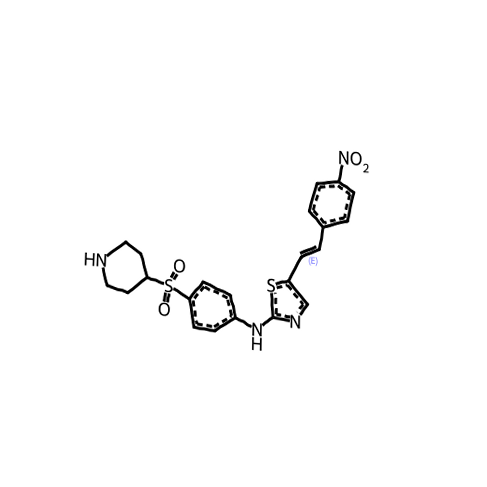 O=[N+]([O-])c1ccc(/C=C/c2cnc(Nc3ccc(S(=O)(=O)C4CCNCC4)cc3)s2)cc1